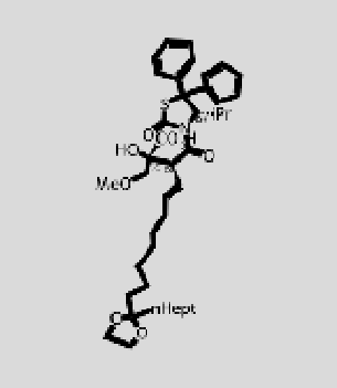 CCCCCCCC1(CCCCCCC=C[C@H](C(=O)N2C(=O)SC(c3ccccc3)(c3ccccc3)[C@@H]2C(C)C)[C@@](O)(COC)C(=O)O)OCCO1